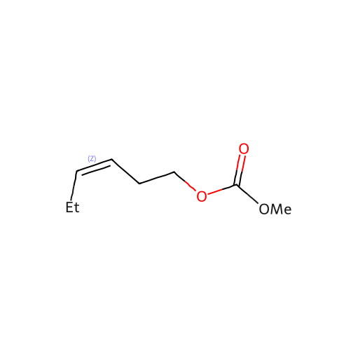 CC/C=C\CCOC(=O)OC